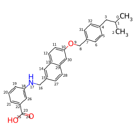 CC(C)Cc1ccc(COc2ccc3cc(CNc4cccc(C(=O)O)c4)ccc3c2)cc1